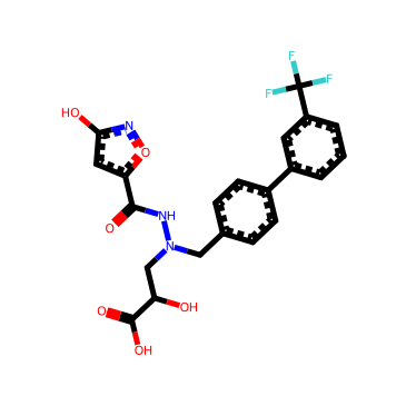 O=C(NN(Cc1ccc(-c2cccc(C(F)(F)F)c2)cc1)CC(O)C(=O)O)c1cc(O)no1